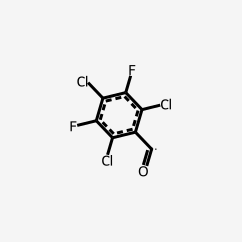 O=[C]c1c(Cl)c(F)c(Cl)c(F)c1Cl